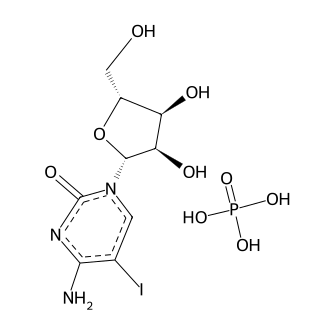 Nc1nc(=O)n([C@@H]2O[C@H](CO)[C@@H](O)[C@H]2O)cc1I.O=P(O)(O)O